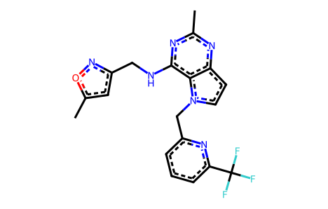 Cc1nc(NCc2cc(C)on2)c2c(ccn2Cc2cccc(C(F)(F)F)n2)n1